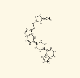 CN1CCC(CCn2ccc3ccc(N4CCN(c5cccc6nccn56)CC4)nc32)C1